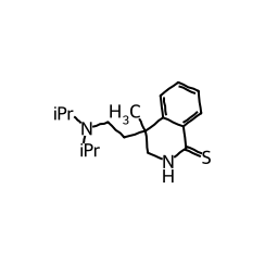 CC(C)N(CCC1(C)CNC(=S)c2ccccc21)C(C)C